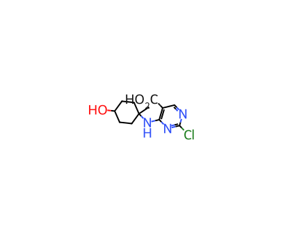 CC1(Nc2nc(Cl)ncc2C(=O)O)CCC(O)CC1